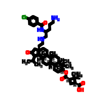 CC(C)C1=C2[C@H]3CC[C@@H]4[C@@]5(C)CC[C@H](OC(=O)[C@H]6C[C@@H](C(=O)O)C6(C)C)C(C)(C)[C@@H]5CC[C@@]4(C)[C@]3(C)CC[C@@]2(CCNCC(CCCN)NC(=O)c2ccc(Cl)cc2)CC1=O